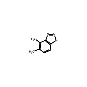 Cc1ccc2c(c1C(F)(F)F)N=N[N]2